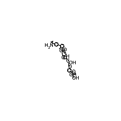 Cc1c(-c2ccc(C3(N)CC3)cc2)cccc1S(=O)(=O)N1CCC2(CC1)CC(NCC(O)COc1cccc(S(=O)(=O)C3(CO)CC3)c1)CO2